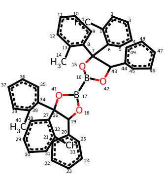 Cc1ccccc1C1(c2ccccc2C)OB(B2OC(c3ccccc3)C(c3ccccc3C)(c3ccccc3C)O2)OC1c1ccccc1